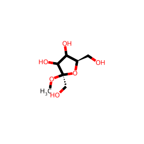 CO[C@]1(CO)O[C@H](CO)C(O)C1O